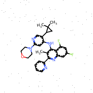 Cc1c(-c2ccccn2)nc2cc(F)cc(F)c2c1Nc1cc(N2CCOCC2)ncc1C1CC1(C)C